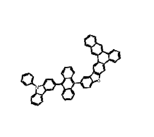 c1ccc(-n2c3ccccc3c3cc(-c4c5ccccc5c(-c5ccc6sc7cc8c9ccccc9c9cc%10ccccc%10cc9c8cc7c6c5)c5ccccc45)ccc32)cc1